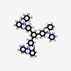 Cc1ccccc1N(c1ccccc1)c1ccc(-c2cc(-c3ccc(N(c4ccccc4C)c4ccccc4C)cc3)cc(-c3ccc(N(c4ccccc4C)c4ccccc4C)cc3)c2)cc1